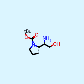 CC(C)(C)OC(=O)N1CCC[C@H]1[C@@H](N)CO